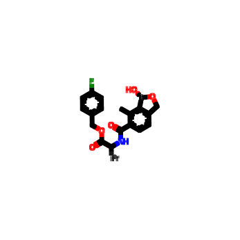 Cc1c(C(=O)NC(C(=O)OCc2ccc(F)cc2)C(C)C)ccc2c1B(O)OC2